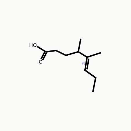 CC/C=C(\C)C(C)CCC(=O)O